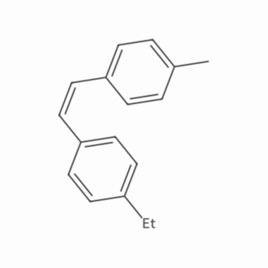 CCc1ccc(/C=C\c2ccc(C)cc2)cc1